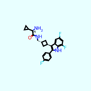 N[C@@H](C(=O)NC[C@H]1C[C@H](c2c(-c3ccc(F)cc3)[nH]c3c(F)cc(F)cc32)C1)C1CC1